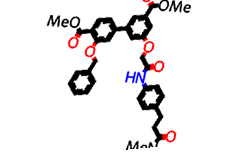 CNC(=O)CCc1ccc(NC(=O)COc2cc(C(=O)OC)cc(-c3ccc(C(=O)OC)c(OCc4ccccc4)c3)c2)cc1